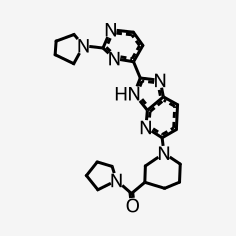 O=C(C1CCCN(c2ccc3nc(-c4ccnc(N5CCCC5)n4)[nH]c3n2)C1)N1CCCC1